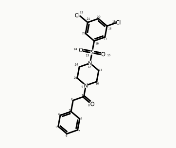 O=C(Cc1ccccc1)N1CCN(S(=O)(=O)c2cc(Cl)cc(Cl)c2)CC1